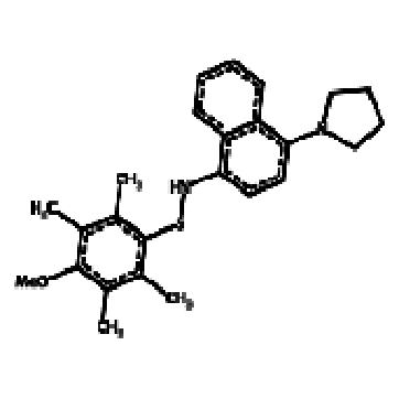 COc1c(C)c(C)c(SNc2ccc(N3CCCC3)c3ccccc23)c(C)c1C